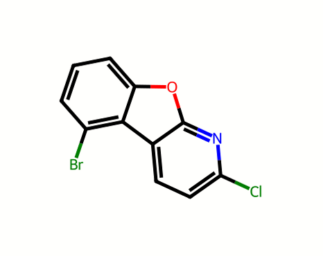 Clc1ccc2c(n1)oc1cccc(Br)c12